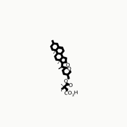 CC1CC[C@@]2(C)C(=CCC3C4CC5OC6(CCC(COC(=O)[C@](C)(I)CC(=O)O)CO6)[C@@H](C)C5[C@@]4(C)CCC32)C1